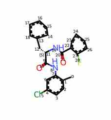 Cc1ccc(Cl)cc1NC(=O)[C@H](Cc1ccccc1)NC(=O)c1ccccc1F